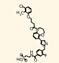 Cc1c(Cl)cccc1OCCCC(=O)N1CCCOc2c(-c3cnn(Cc4ccc(C(=O)NCCS(=O)(=O)O)cc4F)c3)cccc21